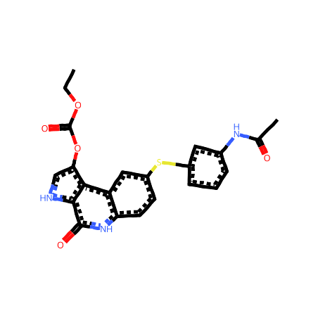 CCOC(=O)Oc1c[nH]c2c(=O)[nH]c3ccc(Sc4cccc(NC(C)=O)c4)cc3c12